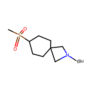 CC(C)(C)N1CC2(CCC(S(C)(=O)=O)CC2)C1